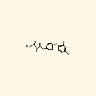 NC(=O)NNCc1ccc(Oc2ccc(Cl)cc2F)cc1